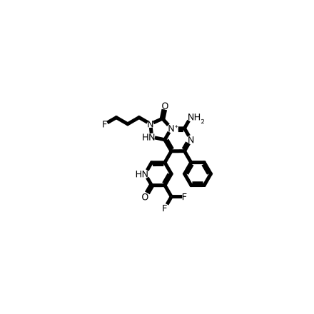 Nc1nc(-c2ccccc2)c(-c2c[nH]c(=O)c(C(F)F)c2)c2[nH]n(CCCF)c(=O)[n+]12